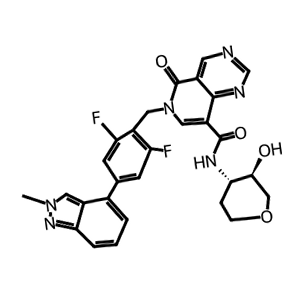 Cn1cc2c(-c3cc(F)c(Cn4cc(C(=O)N[C@H]5CCOC[C@@H]5O)c5ncncc5c4=O)c(F)c3)cccc2n1